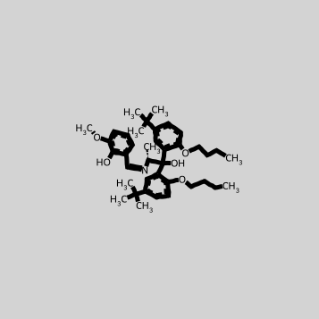 CCCCOc1ccc(C(C)(C)C)cc1C(O)(c1cc(C(C)(C)C)ccc1OCCCC)[C@@H](C)N=Cc1cccc(OC)c1O